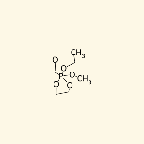 CCOP1(C=O)(OC)OCCO1